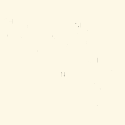 COC(=O)COc1cccn2c(CC34CC5CC(CC(C5)C3)C4)c(C)c(C(=O)C(N)=O)c12